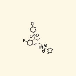 CC(CCNS(=O)(=O)c1cccs1)C(c1cc(F)ccc1F)S(=O)(=O)c1ccc(Cl)cc1